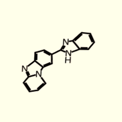 c1ccc2[nH]c(-c3ccc4nc5ccccn5c4c3)nc2c1